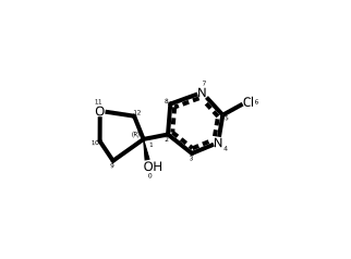 O[C@@]1(c2cnc(Cl)nc2)CCOC1